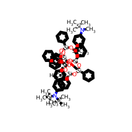 CN(c1ccc([Si]2(C)O[Si]3(c4ccccc4)O[Si]4(c5ccccc5)O[Si]5(c6ccccc6)O[Si](C)(c6ccc(N([Si](C)(C)C)[Si](C)(C)C)cc6)O[Si]6(c7ccccc7)O[Si](c7ccccc7)(O[Si](c7ccccc7)(O2)O[Si](c2ccccc2)(O6)O[Si](c2ccccc2)(O3)O5)O4)cc1)[Si](C)(C)C